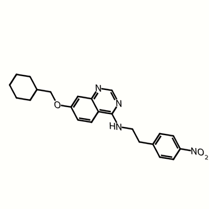 O=[N+]([O-])c1ccc(CCNc2ncnc3cc(OCC4CCCCC4)ccc23)cc1